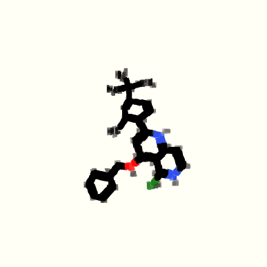 Cc1cc(C(C)(C)C)ccc1-c1cc(OCc2ccccc2)c2c(Cl)nccc2n1